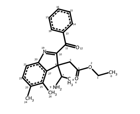 CCOC(=O)CC1(C(C)N)C(C(=O)c2ccccc2)=Nc2ccc(C)c(C)c21